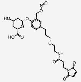 O=NOCc1cc(CCCOCCNC(=O)CCN2C(=O)C=CC2=O)ccc1O[C@H]1CC(O)C[C@@H](C(=O)O)O1